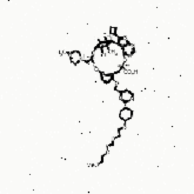 COCCOCCOCCO[C@H]1CC[C@H](c2nccc(COc3ccc4cc3C[C@H](C(=O)O)Oc3ncnc5sc(C6CCC6)c(c35)-c3c(C)c(Cl)c(c(Cl)c3C)O[C@H](CN3CCN(C)CC3)CO4)n2)CC1